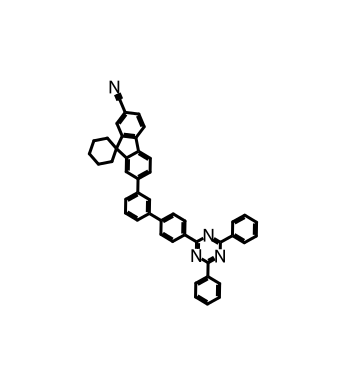 N#Cc1ccc2c(c1)C1(CCCCC1)c1cc(-c3cccc(-c4ccc(-c5nc(-c6ccccc6)nc(-c6ccccc6)n5)cc4)c3)ccc1-2